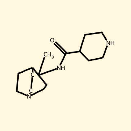 CC1(NC(=O)C2CCNCC2)CCN2CCC1CC2